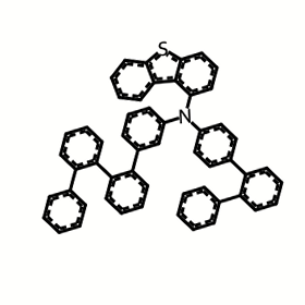 c1ccc(-c2ccccc2-c2ccc(N(c3cccc(-c4ccccc4-c4ccccc4-c4ccccc4)c3)c3cccc4sc5ccccc5c34)cc2)cc1